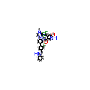 CN1CCN(c2ccc(-c3ccc(CNC4CCCCC4)cc3F)cc2NC(=O)c2c[nH]c(=O)cc2C(F)(F)F)CC1